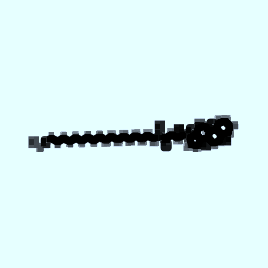 CCCCCCCCCCCCCCCCCCCNC(=O)CCC[C@H]1CCC2[C@@H]3CC[C@@H]4CCCC[C@]4(C)C3CC[C@@]21C